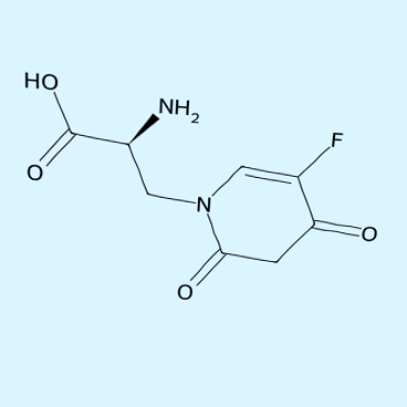 N[C@@H](CN1C=C(F)C(=O)CC1=O)C(=O)O